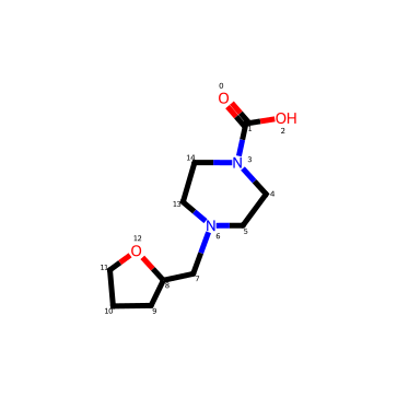 O=C(O)N1CCN(CC2CCCO2)CC1